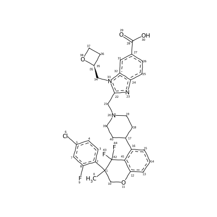 CC1(c2ccc(Cl)cc2F)COc2cccc(C3CCN(Cc4nc5ccc(C(=O)O)cc5n4C[C@@H]4CCO4)CC3)c2C1(F)F